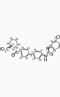 N#Cc1ccc2sc(Nc3ccc(-c4ccc(C(=O)[C@H]5CCCC[C@@H]5C(=O)O)cc4)cc3)nc2c1